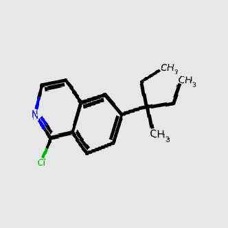 CCC(C)(CC)c1ccc2c(Cl)nccc2c1